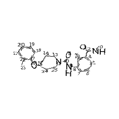 CNC(=O)c1cccc(NC(=O)N2CCC(Oc3ccccc3C)CC2)c1